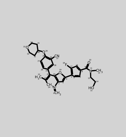 C=Nc1cc(-c2ccc(C(=O)N(C)CCO)cc2F)oc1C(=C(C)C)c1ccc(OC2CCOCC2)c(C#N)c1